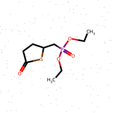 CCOP(=O)(CC1CCC(=O)S1)OCC